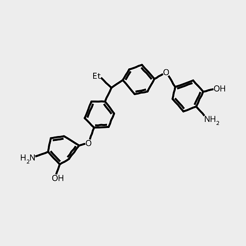 CCC(c1ccc(Oc2ccc(N)c(O)c2)cc1)c1ccc(Oc2ccc(N)c(O)c2)cc1